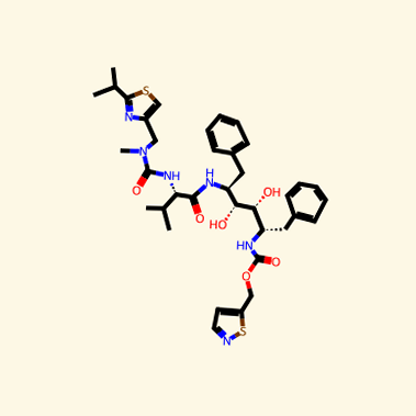 CC(C)c1nc(CN(C)C(=O)N[C@H](C(=O)N[C@@H](Cc2ccccc2)[C@@H](O)[C@H](O)[C@H](Cc2ccccc2)NC(=O)OCc2ccns2)C(C)C)cs1